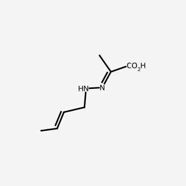 CC=CCNN=C(C)C(=O)O